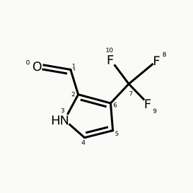 O=[C]c1[nH]ccc1C(F)(F)F